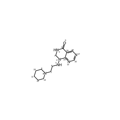 O=C1NCN(NCCN2CCCCC2)c2ncncc21